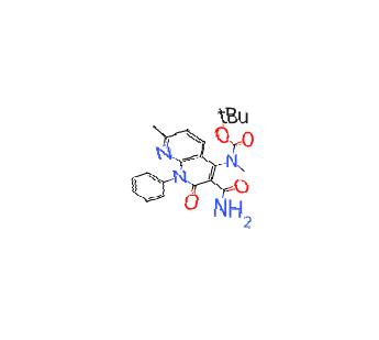 Cc1ccc2c(N(C)C(=O)OC(C)(C)C)c(C(N)=O)c(=O)n(-c3ccccc3)c2n1